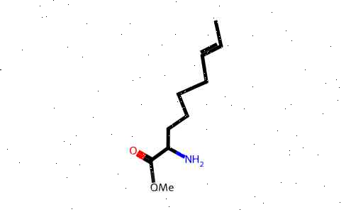 C/C=C/CCCCC(N)C(=O)OC